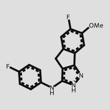 COc1cc2c(cc1F)Cc1c-2n[nH]c1Nc1ccc(F)cc1